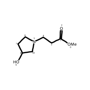 COC(=O)CCN1CCC(O)C1